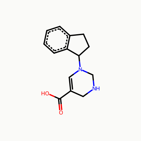 O=C(O)C1=CN(C2CCc3ccccc32)CNC1